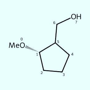 CO[C@H]1CCCC1CO